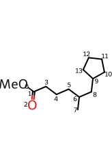 COC(=O)CCCC(C)CC1CCCC1